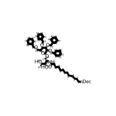 CCCCCCCCCCCCCCCCCCCCCCC(=O)N[C@@H](COC1OC(COCc2ccccc2)C(OCc2ccccc2)C(OCc2ccccc2)C1OCc1ccccc1)[C@H](O)[C@@H](C)O